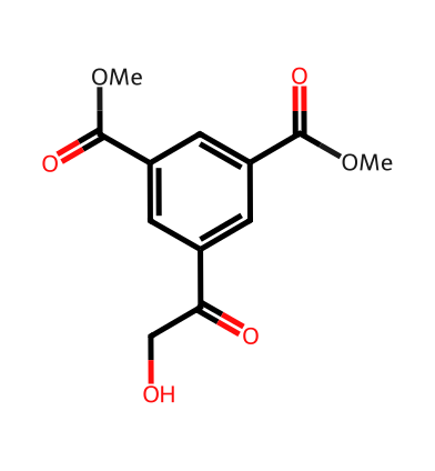 COC(=O)c1cc(C(=O)CO)cc(C(=O)OC)c1